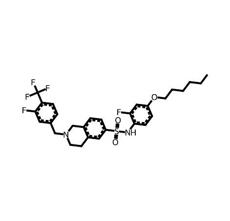 CCCCCCOc1ccc(NS(=O)(=O)c2ccc3c(c2)CCN(Cc2ccc(C(F)(F)F)c(F)c2)C3)c(F)c1